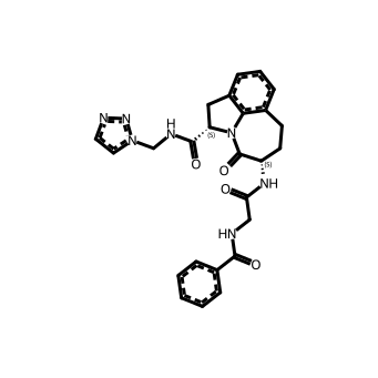 O=C(CNC(=O)c1ccccc1)N[C@H]1CCc2cccc3c2N(C1=O)[C@H](C(=O)NCn1ccnn1)C3